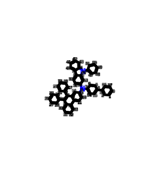 c1ccc(-c2ccc(N(c3ccc4c(c3)c(-c3ccccc3)c(-c3ccccc3)c3ccccc34)c3ccc4c5ccccc5n(-c5ccccc5)c4c3)cc2)cc1